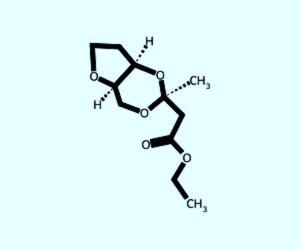 CCOC(=O)C[C@@]1(C)OC[C@H]2OCC[C@H]2O1